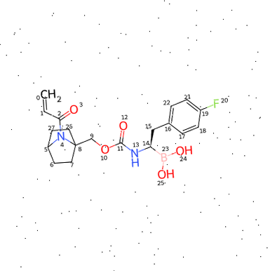 C=CC(=O)N1C2CCC1(COC(=O)N[C@@H](Cc1ccc(F)cc1)B(O)O)CC2